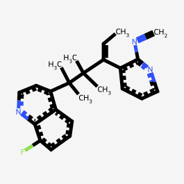 C=Nc1ncccc1/C(=C\C)C(C)(C)C(C)(C)c1ccnc2c(F)cccc12